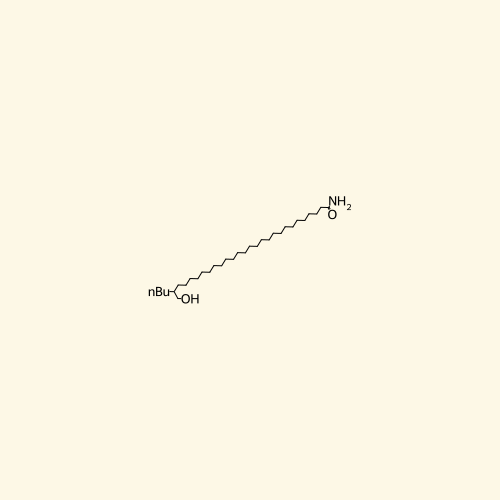 CCCCC(CO)CCCCCCCCCCCCCCCCCCCCCCCCCC(N)=O